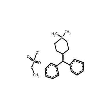 COS(=O)(=O)[O-].C[N+]1(C)CCC(=C(c2ccccc2)c2ccccc2)CC1